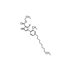 CCCCCCCCCc1ccc(-c2c[nH]c(C(=O)OCC)c2F)c(C)c1